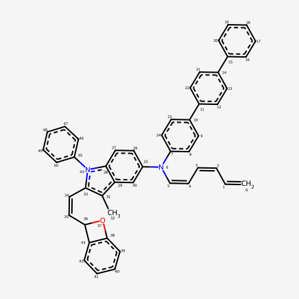 C=C/C=C\C=C/N(c1ccc(-c2ccc(-c3ccccc3)cc2)cc1)c1ccc2c(c1)c(C)c(/C=C\C1Oc3ccccc31)n2-c1ccccc1